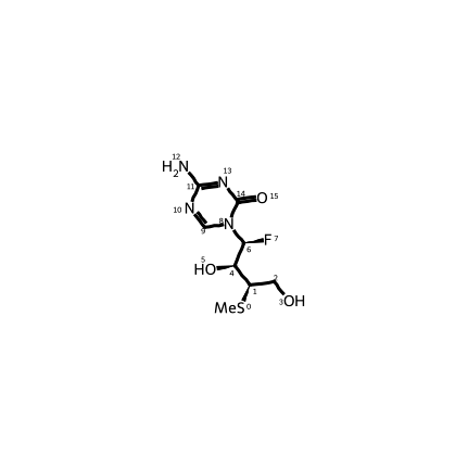 CS[C@H](CO)[C@@H](O)[C@H](F)n1cnc(N)nc1=O